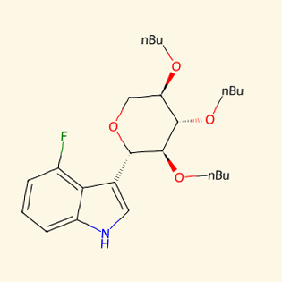 CCCCO[C@@H]1[C@@H](OCCCC)[C@H](c2c[nH]c3cccc(F)c23)OC[C@H]1OCCCC